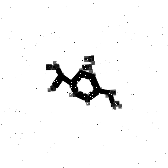 COC(=O)c1ccc(NN)nn1.Cl.Cl